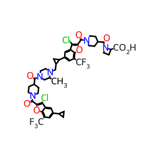 CC1CN(C(=O)C2CCN(C(=O)c3oc4c(C(F)(F)F)cc(C5CC5)cc4c3Cl)CC2)CCN1CC1CC1c1cc(C(F)(F)F)c2oc(C(=O)N3CCC(C(=O)N4CCC4C(=O)O)CC3)c(Cl)c2c1